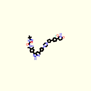 Cc1cc(-c2n[nH]c3ncc(-c4ccc(N5CCN(C6CCC(c7ccc(C8CCC(=O)NC8=O)c(F)c7)C6)CC5)cc4)cc23)ccc1C(C)NC(=O)c1nc(C(C)(C)C)no1